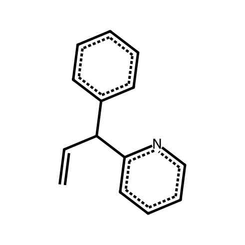 C=CC(c1ccccc1)c1ccccn1